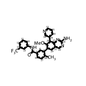 COc1c(-c2cc(C(=O)Nc3cccc(C(F)(F)F)c3)ccc2C)cc2cnc(N)nc2c1-c1cccnc1